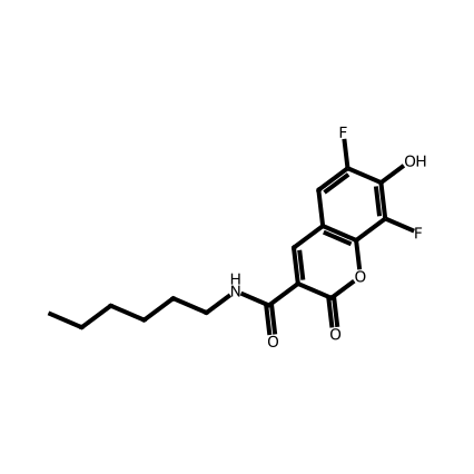 CCCCCCNC(=O)c1cc2cc(F)c(O)c(F)c2oc1=O